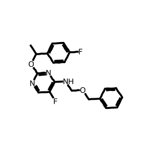 CC(Oc1ncc(F)c(NCOCc2ccccc2)n1)c1ccc(F)cc1